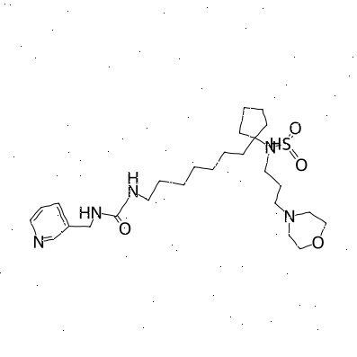 O=C(NCCCCCCCC1(N(CCCN2CCOCC2)[SH](=O)=O)CCCC1)NCc1cccnc1